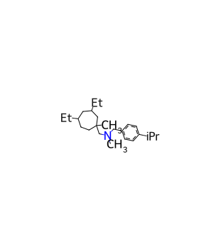 CCC1CCC(C)(CN(C)Cc2ccc(C(C)C)cc2)CC(CC)C1